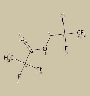 CCC(C)(F)C(=O)OCC(F)(F)C(F)(F)F